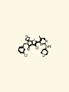 Cc1cnc(NC2CCOCC2)nc1-c1sc2c(c1Cl)C(=O)N(Cc1cccc(Cl)c1)C21COC1